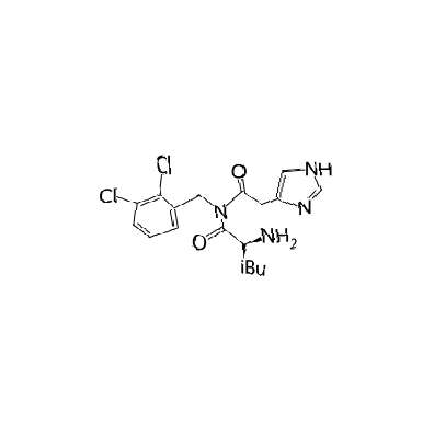 CC[C@H](C)[C@H](N)C(=O)N(Cc1cccc(Cl)c1Cl)C(=O)Cc1c[nH]cn1